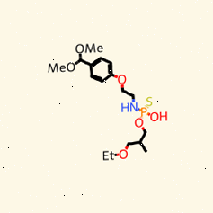 CCOCC(C)COP(O)(=S)NCCOc1ccc(C(OC)OC)cc1